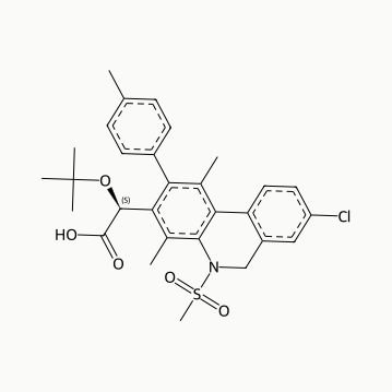 Cc1ccc(-c2c(C)c3c(c(C)c2[C@H](OC(C)(C)C)C(=O)O)N(S(C)(=O)=O)Cc2cc(Cl)ccc2-3)cc1